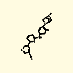 Cc1cc(Nc2nccc(-c3cncc(C#N)c3)n2)ccc1N1CC2CC1CN2C